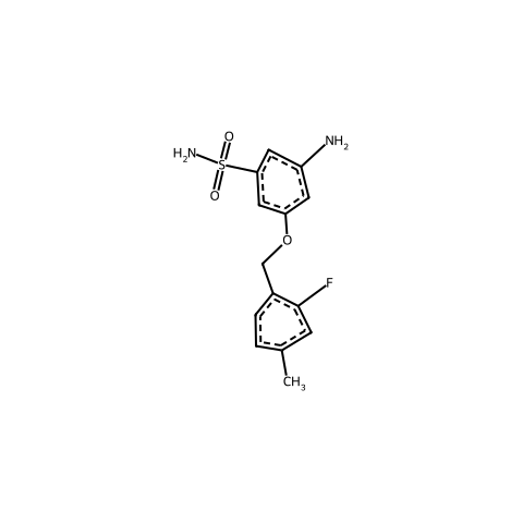 Cc1ccc(COc2cc(N)cc(S(N)(=O)=O)c2)c(F)c1